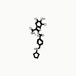 NC(=O)c1c(NC(=O)c2ccc(CNC3CCCC3)cc2)sc2c(Cl)c(O)c(Cl)cc12